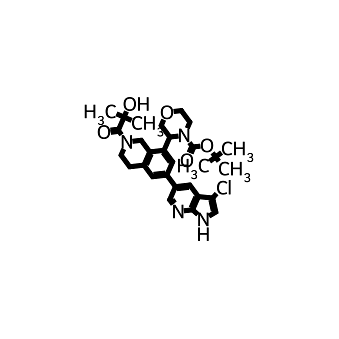 CC(C)(C)OC(=O)N1CCOCC1c1cc(-c2cnc3[nH]cc(Cl)c3c2)cc2c1CN(C(=O)C(C)(C)O)CC2